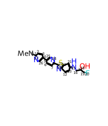 CNc1ccc(-c2ccc(-c3nc4ccc(NCC(O)CF)cc4s3)nc2)cn1